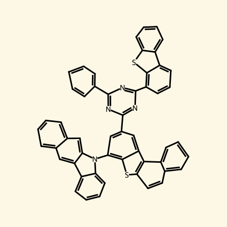 c1ccc(-c2nc(-c3cc(-n4c5ccccc5c5cc6ccccc6cc54)c4sc5ccc6ccccc6c5c4c3)nc(-c3cccc4c3sc3ccccc34)n2)cc1